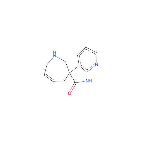 O=C1Nc2ncccc2C12CC=CCNC2